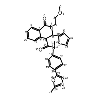 COCCN1C(=O)c2ccccc2C(C(=O)Nc2ccc(-c3nnc(C)o3)cc2)C1c1cccs1